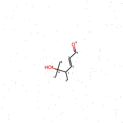 CC(C=CC=O)C(C)(C)O